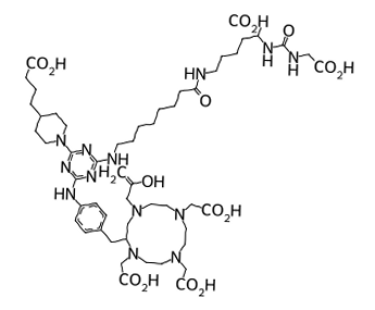 C=C(O)CN1CCN(CC(=O)O)CCN(CC(=O)O)CCN(CC(=O)O)C(Cc2ccc(Nc3nc(NCCCCCCCC(=O)NCCCCC(NC(=O)NCC(=O)O)C(=O)O)nc(N4CCC(CCCC(=O)O)CC4)n3)cc2)C1